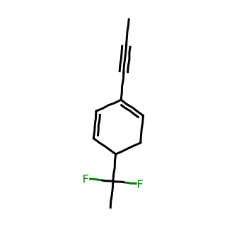 CC#CC1=CCC(C(C)(F)F)C=C1